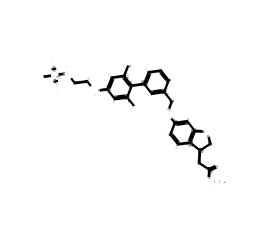 COC(=O)CC1COc2cc(OCc3cccc(-c4c(C)cc(OCCNS(C)(=O)=O)cc4C)c3)ccc21